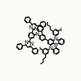 CCCCc1cc(I)cc(N2c3ccccc3B3c4ccccc4N(c4cc(I)cc(CCCC)c4)c4cc(-c5ccc6c(c5)c5ccccc5n6-c5cc(-c6nc(-c7ccccc7)cc(-c7ccccc7)n6)ccc5-c5nc(-c6ccccc6)cc(-c6ccccc6)n5)cc2c43)c1